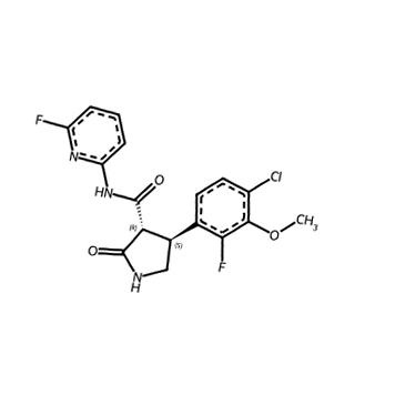 COc1c(Cl)ccc([C@H]2CNC(=O)[C@@H]2C(=O)Nc2cccc(F)n2)c1F